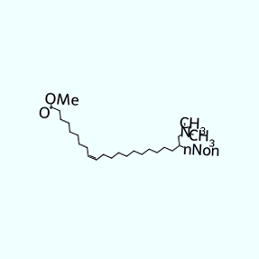 CCCCCCCCCC(CCCCCCCCCC/C=C\CCCCCCCC(=O)OC)CN(C)C